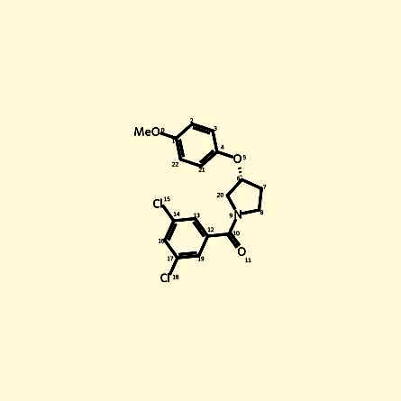 COc1ccc(O[C@@H]2CCN(C(=O)c3cc(Cl)cc(Cl)c3)C2)cc1